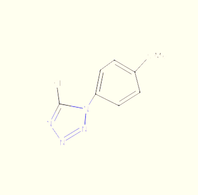 COc1ccc(-n2nnnc2C(F)(F)F)cc1